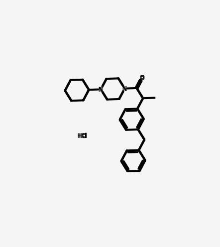 CC(C(=O)N1CCN(C2CCCCC2)CC1)c1cccc(Cc2ccccc2)c1.Cl